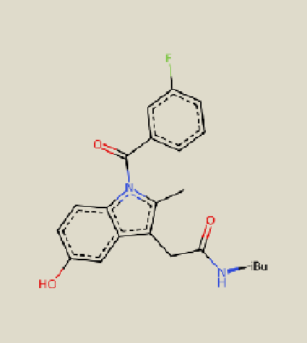 CC[C@H](C)NC(=O)Cc1c(C)n(C(=O)c2cccc(F)c2)c2ccc(O)cc12